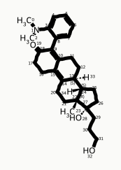 CN(C)c1ccccc1C1=C2CC[C@@H]3C(=C2CCC1=O)CC[C@]1(C)[C@H]3CC[C@@]1(O)CCCO